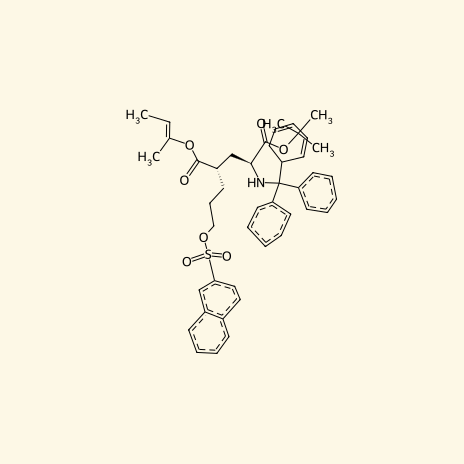 C/C=C(\C)OC(=O)[C@@H](CCCOS(=O)(=O)c1ccc2ccccc2c1)C[C@H](NC(c1ccccc1)(c1ccccc1)C1C=CC=CC1)C(=O)OC(C)(C)C